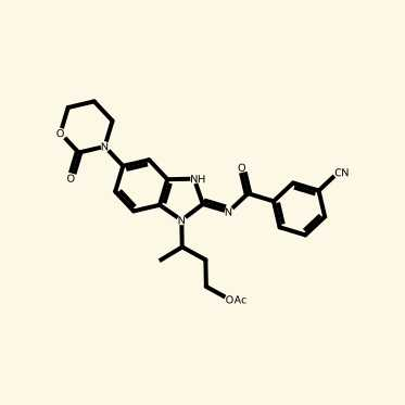 CC(=O)OCCC(C)n1/c(=N/C(=O)c2cccc(C#N)c2)[nH]c2cc(N3CCCOC3=O)ccc21